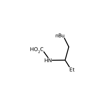 [CH2]CC(CCCCC)NC(=O)O